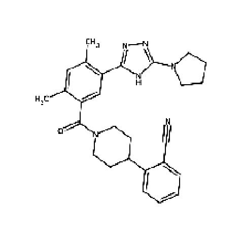 Cc1cc(C)c(-c2nnc(N3CCCC3)[nH]2)cc1C(=O)N1CCC(c2ccccc2C#N)CC1